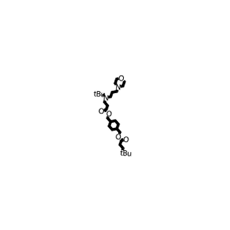 CC(C)(C)CCC(=O)OCC1CCC(COC(=O)CCN(CCCN2CCOCC2)C(C)(C)C)CC1